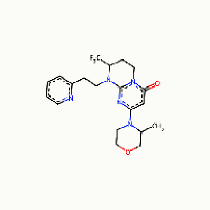 CC1COCCN1c1cc(=O)n2c(n1)N(CCc1ccccn1)C(C(F)(F)F)CC2